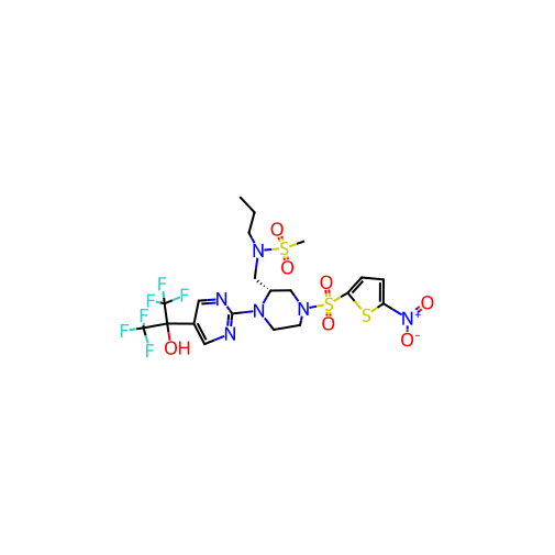 CCCN(C[C@@H]1CN(S(=O)(=O)c2ccc([N+](=O)[O-])s2)CCN1c1ncc(C(O)(C(F)(F)F)C(F)(F)F)cn1)S(C)(=O)=O